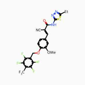 CCc1nnc(NC(=O)/C(C#N)=C/c2ccc(OCc3c(F)c(F)c(C(F)(F)F)c(F)c3F)c(OC)c2)s1